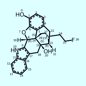 Oc1ccc2c3c1O[C@H]1c4[nH]c5ccccc5c4C[C@@]4(O)[C@@H](C2)N(CCF)CC[C@]314